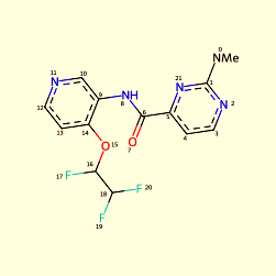 CNc1nccc(C(=O)Nc2cnccc2OC(F)C(F)F)n1